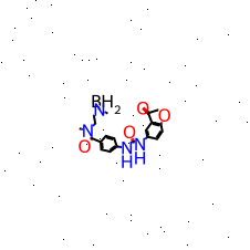 BN(C)CCN(C)C(=O)c1ccc(NC(=O)Nc2ccc3c(c2)C(=O)CO3)cc1